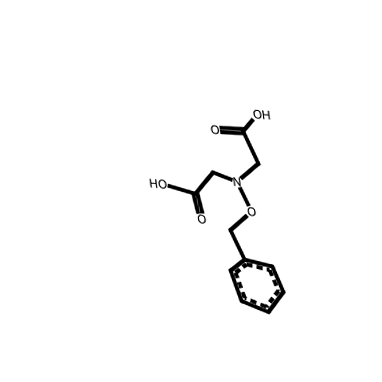 O=C(O)CN(CC(=O)O)OCc1ccccc1